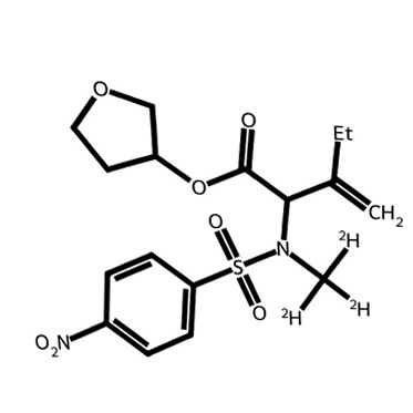 [2H]C([2H])([2H])N(C(C(=C)CC)C(=O)OC1CCOC1)S(=O)(=O)c1ccc([N+](=O)[O-])cc1